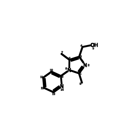 Cc1nc(CO)c(C)n1-c1ccccn1